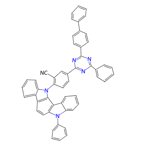 N#Cc1cc(-c2nc(-c3ccccc3)nc(-c3ccc(-c4ccccc4)cc3)n2)ccc1-n1c2ccccc2c2ccc3c(c4ccccc4n3-c3ccccc3)c21